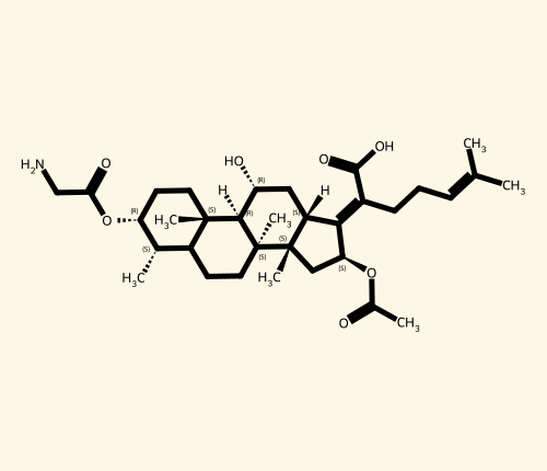 CC(=O)O[C@H]1C[C@@]2(C)[C@H](C[C@@H](O)[C@@H]3[C@@]4(C)CC[C@@H](OC(=O)CN)[C@@H](C)C4CC[C@@]32C)C1=C(CCC=C(C)C)C(=O)O